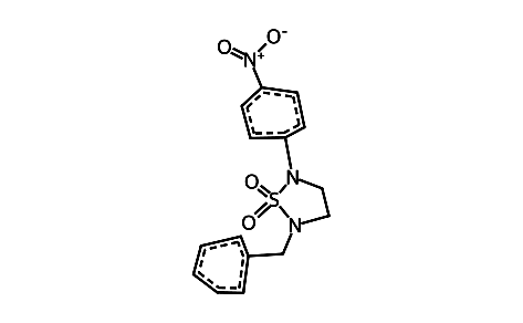 O=[N+]([O-])c1ccc(N2CCN(Cc3ccccc3)S2(=O)=O)cc1